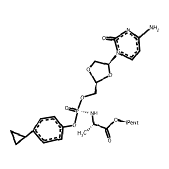 CCC[C@H](C)OC(=O)[C@H](C)N[P@](=O)(OC[C@H]1OC[C@@H](n2ccc(N)nc2=O)O1)Oc1ccc(C2CC2)cc1